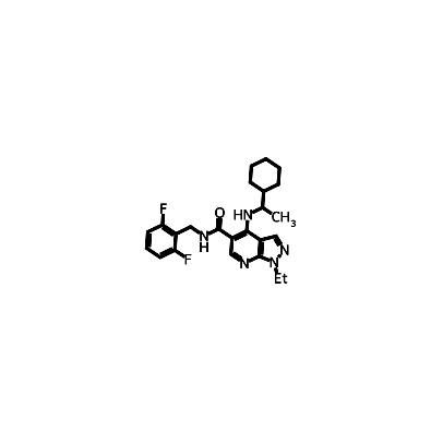 CCn1ncc2c(NC(C)C3CCCCC3)c(C(=O)NCc3c(F)cccc3F)cnc21